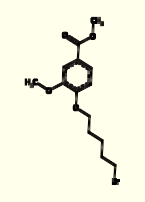 COC(=O)c1ccc(OCCCCCBr)c(OC)c1